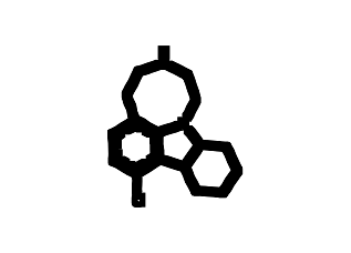 Clc1ccc2c3c1C1CCCCC1N3CCNCC2